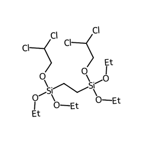 CCO[Si](CC[Si](OCC)(OCC)OCC(Cl)Cl)(OCC)OCC(Cl)Cl